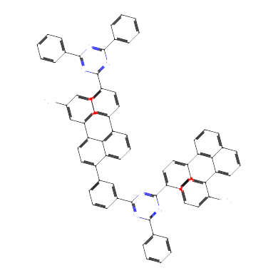 N#Cc1cccc(-c2ccc(-c3cccc(-c4nc(-c5ccccc5)nc(-c5ccc(-c6cccc7cccc(-c8ccccc8C#N)c67)cc5)n4)c3)c3cccc(-c4ccc(-c5nc(-c6ccccc6)nc(-c6ccccc6)n5)cc4)c23)c1